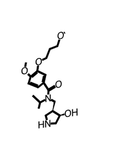 COCCCOc1cc(C(=O)N(C[C@@H]2CNC[C@@H]2O)C(C)C)ccc1OC